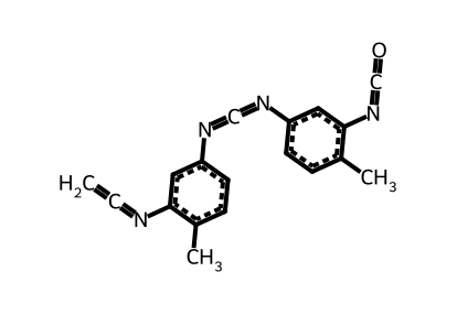 C=C=Nc1cc(N=C=Nc2ccc(C)c(N=C=O)c2)ccc1C